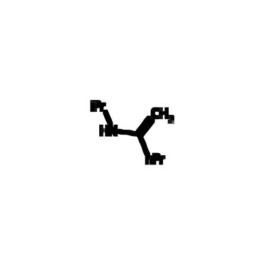 C=C(CCC)NC(C)C